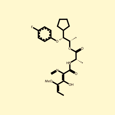 C=N/C(C(=O)N[C@@H](C)C(=O)O[C@@H](C)[C@H](Oc1ccc(F)cc1)C1CCCC1)=C(O)\C(=C/C)OC